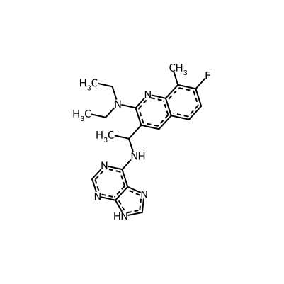 CCN(CC)c1nc2c(C)c(F)ccc2cc1C(C)Nc1ncnc2[nH]cnc12